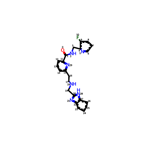 O=C(NCc1ncccc1F)c1cccc(CCNCc2nc3ccccc3[nH]2)n1